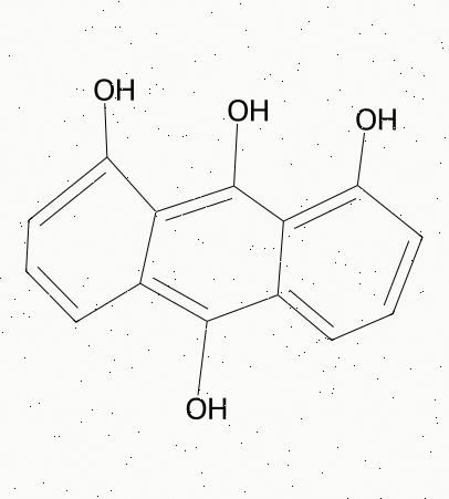 Oc1c2cccc(O)c2c(O)c2c(O)cccc12